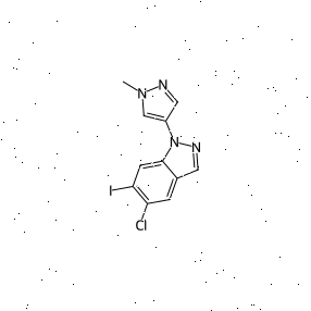 Cn1cc(-n2ncc3cc(Cl)c(I)cc32)cn1